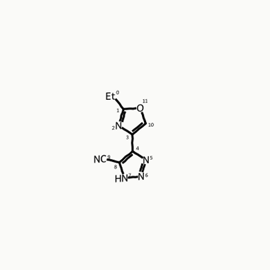 CCc1nc(-c2nn[nH]c2C#N)co1